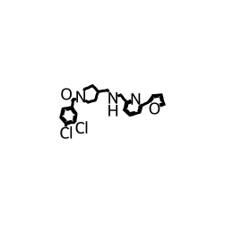 O=C(c1ccc(Cl)c(Cl)c1)N1CCC(CNCc2cccc(-c3ccco3)n2)CC1